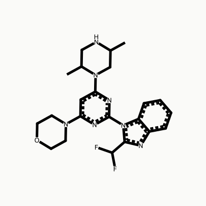 CC1CN(c2cc(N3CCOCC3)nc(-n3c(C(F)F)nc4ccccc43)n2)C(C)CN1